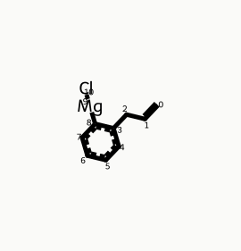 C=CCc1cccc[c]1[Mg][Cl]